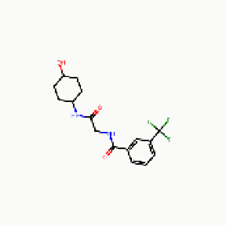 O=C(CNC(=O)c1cccc(C(F)(F)F)c1)NC1CCC(O)CC1